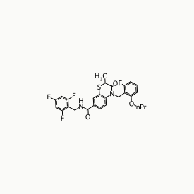 CCCOc1cccc(F)c1CN1C(=O)C(C)Sc2cc(C(=O)NCc3c(F)cc(F)cc3F)ccc21